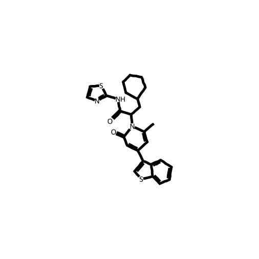 Cc1cc(-c2csc3ccccc23)cc(=O)n1C(CC1CCCCC1)C(=O)Nc1nccs1